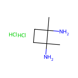 CC1(N)CCC1(C)N.Cl.Cl